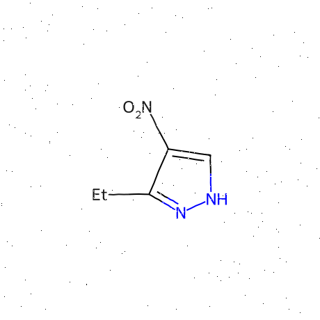 CCc1n[nH]cc1[N+](=O)[O-]